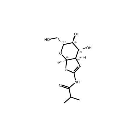 CC(C)C(=O)NC1=N[C@@H]2[C@@H](O)[C@H](O)[C@@H](CO)O[C@@H]2S1